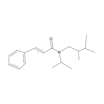 CC(C)C(C)CN(C(=O)/C=C/c1ccccc1)C(C)C